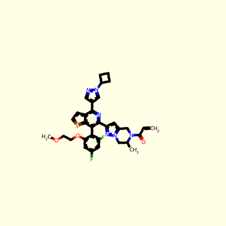 C=CC(=O)N1Cc2cc(-c3nc(-c4cnn(C5CCC5)c4)c4ccsc4c3-c3c(F)cc(F)cc3OCCOC)nn2CC1C